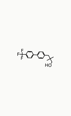 CC(C)(CO)Cc1ccc(-c2ccc(C(F)(F)F)cc2)cc1